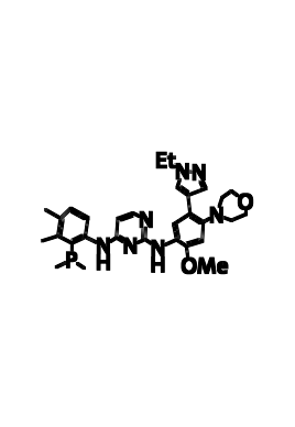 CCn1cc(-c2cc(Nc3nccc(Nc4ccc(C)c(C)c4P(C)C)n3)c(OC)cc2N2CCOCC2)cn1